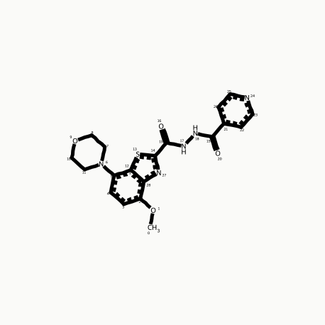 COc1ccc(N2CCOCC2)c2sc(C(=O)NNC(=O)c3ccncc3)nc12